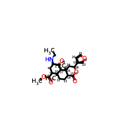 CCNC1CC(C(=O)OC)C2(C)CCC3C(=O)OC(c4ccoc4)CC3(C)C2C1=O